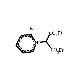 CCOC(=O)C(C(=O)OCC)[n+]1ccccc1.[Br-]